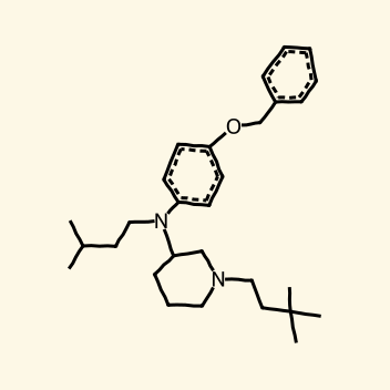 CC(C)CCN(c1ccc(OCc2ccccc2)cc1)C1CCCN(CCC(C)(C)C)C1